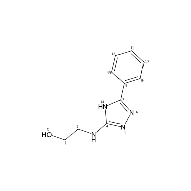 OCCNc1nnc(-c2ccccc2)[nH]1